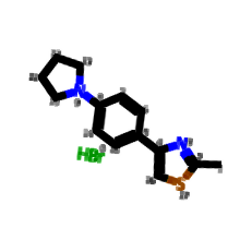 Br.Cc1nc(-c2ccc(N3CCCC3)cc2)cs1